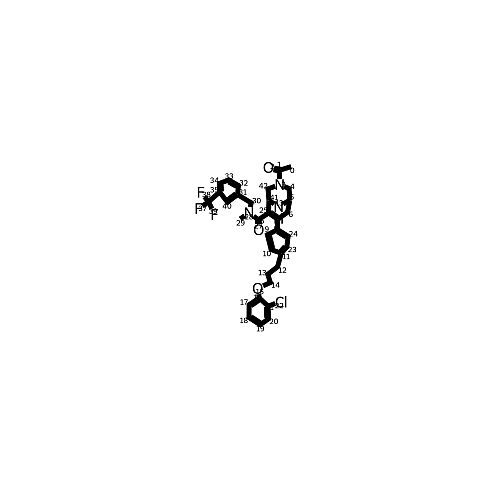 CC(=O)N1CC2CC(c3ccc(CCCOc4ccccc4Cl)cc3)=C(C(=O)N(C)Cc3cccc(C(F)(F)F)c3)C(C1)N2